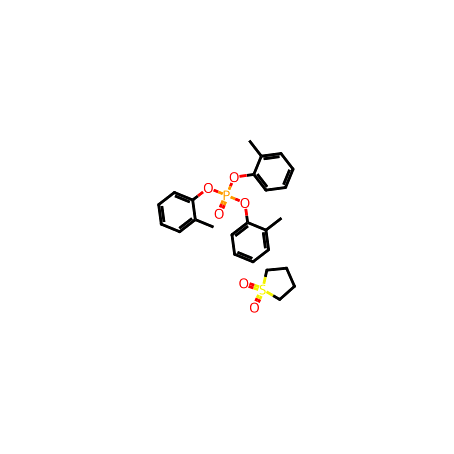 Cc1ccccc1OP(=O)(Oc1ccccc1C)Oc1ccccc1C.O=S1(=O)CCCC1